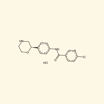 Cl.O=C(Nc1ccc([C@@H]2CNCCO2)cc1)c1ccc(Cl)nc1